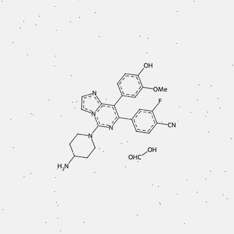 COc1cc(-c2c(-c3ccc(C#N)c(F)c3)nc(N3CCC(N)CC3)n3ccnc23)ccc1O.O=CO